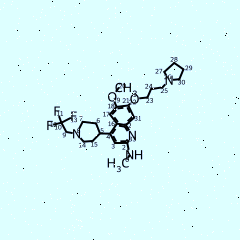 CNc1cc(C2CCN(CC(F)(F)F)CC2)c2cc(OC)c(OCCCN3CCCC3)cc2n1